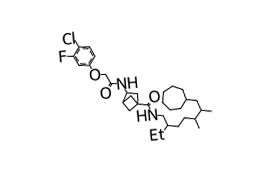 CCC(CCC(C)C(C)CC1CCCCCC1)CNC(=O)C12CC(C1)C(NC(=O)COc1ccc(Cl)c(F)c1)C2